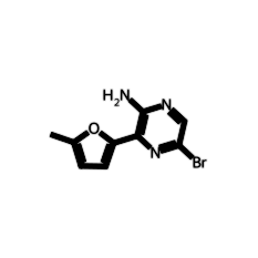 Cc1ccc(-c2nc(Br)cnc2N)o1